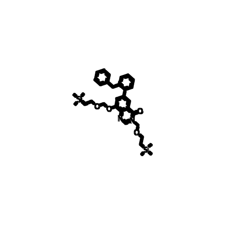 C[Si](C)(C)CCOCOc1cc(-c2ccccc2Cc2ccccc2)cc2c(=O)n(COCC[Si](C)(C)C)cnc12